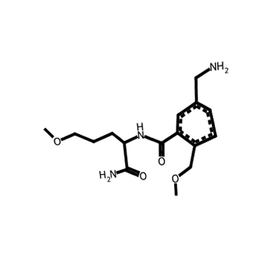 COCCCC(NC(=O)c1cc(CN)ccc1COC)C(N)=O